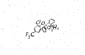 O=C(O)C(Oc1c(Cl)cc(C(F)(F)F)cc1Cl)c1ccccc1[N+](=O)[O-]